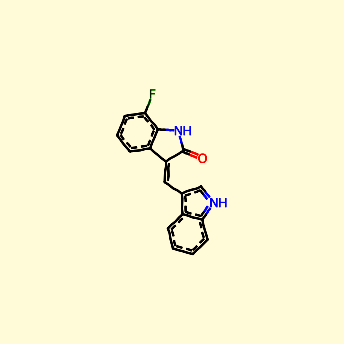 O=C1Nc2c(F)cccc2/C1=C/c1c[nH]c2ccccc12